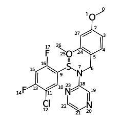 COc1ccc(CN(Sc2cc(Cl)c(F)cc2F)c2cnccn2)c(OC)c1